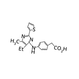 CCc1c(C)nc(-c2cccs2)nc1Nc1ccc(CC(=O)O)cc1